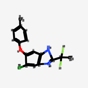 FC(F)(F)c1ccc(Oc2cc3[nH]c(C(F)(F)C(F)(F)F)nc3cc2Cl)cc1